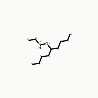 CCCCC(CCCC)ONCC